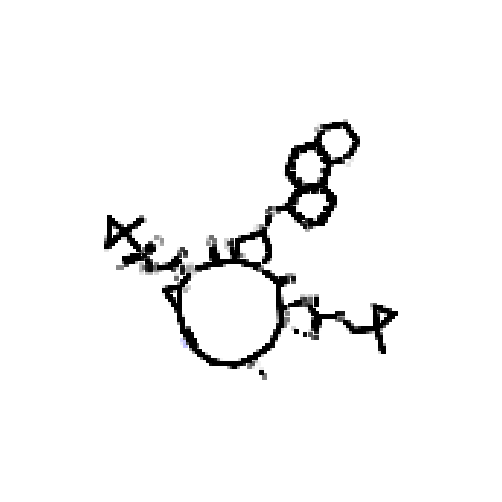 C[C@@H]1CC/C=C\C2C[C@@]2(C(=O)NS(=O)(=O)C2(C)CC2)NC(=O)[C@@H]2C[C@@H](Oc3nccc4c5c(ccc34)OCCO5)CN2C(=O)[C@@H](NC(=O)OCC2(C)CC2)[C@H](C)C1